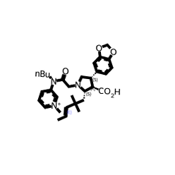 C/C=C/C(C)(C)C[C@H]1[C@H](C(=O)O)[C@@H](c2ccc3c(c2)OCO3)CN1CC(=O)N(CCCC)c1ccc[n+](C)c1